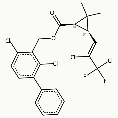 CC1(C)[C@H](C(=O)OCc2c(Cl)ccc(-c3ccccc3)c2Cl)[C@@H]1C=C(Cl)C(F)(F)Cl